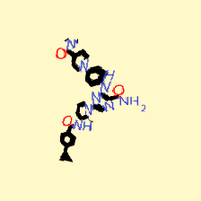 C[C@@H]1[C@H](NC(=O)c2ccc(C3CC3)cc2)CCCN1c1cnc(C(N)=O)c(Nc2ccc(N3CCC(C(=O)N(C)C)CC3)cc2)n1